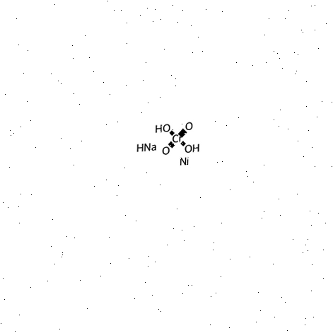 [NaH].[Ni].[O]=[Cr](=[O])([OH])[OH]